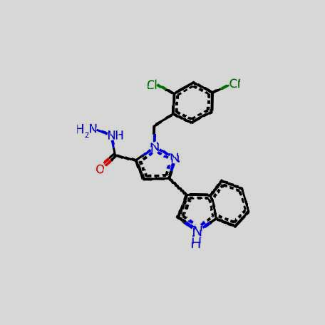 NNC(=O)c1cc(-c2c[nH]c3ccccc23)nn1Cc1ccc(Cl)cc1Cl